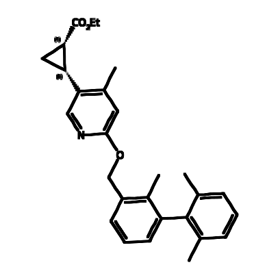 CCOC(=O)[C@H]1C[C@H]1c1cnc(OCc2cccc(-c3c(C)cccc3C)c2C)cc1C